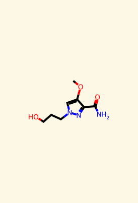 COc1cn(CCCO)nc1C(N)=O